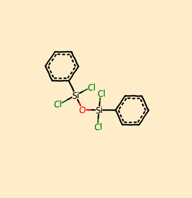 Cl[Si](Cl)(O[Si](Cl)(Cl)c1ccccc1)c1ccccc1